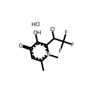 Cc1cc(=O)c(O)c(C(Cl)C(F)(F)F)n1C.Cl